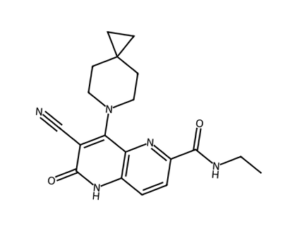 CCNC(=O)c1ccc2[nH]c(=O)c(C#N)c(N3CCC4(CC3)CC4)c2n1